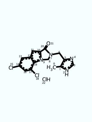 Cc1[nH]cnc1CN1Cn2c(cc3cc(Cl)cc(Cl)c32)C1=O.Cl